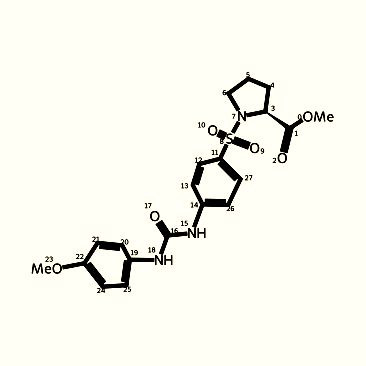 COC(=O)[C@@H]1CCCN1S(=O)(=O)c1ccc(NC(=O)Nc2ccc(OC)cc2)cc1